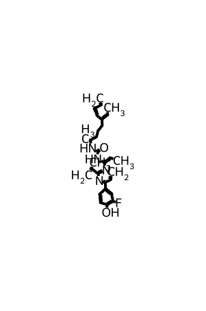 C=C/C=C\C(=C/C)CCCC(C)NC(=O)NC(=C/C)/N=C(/N=C(\C=C)c1ccc(O)c(F)c1)C(=C)C